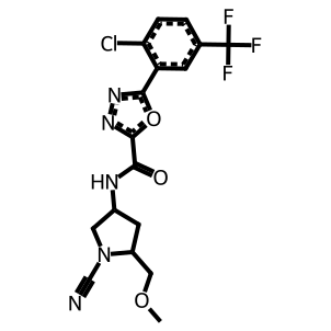 COCC1CC(NC(=O)c2nnc(-c3cc(C(F)(F)F)ccc3Cl)o2)CN1C#N